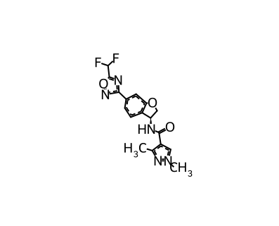 Cc1nn(C)cc1C(=O)N[C@@H]1COc2cc(-c3noc(C(F)F)n3)ccc21